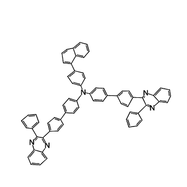 c1ccc(-c2nc3ccccc3nc2-c2ccc(-c3ccc(N(c4ccc(-c5ccc(-c6nc7ccccc7nc6-c6ccccc6)cc5)cc4)c4ccc(-c5cccc6ccccc56)cc4)cc3)cc2)cc1